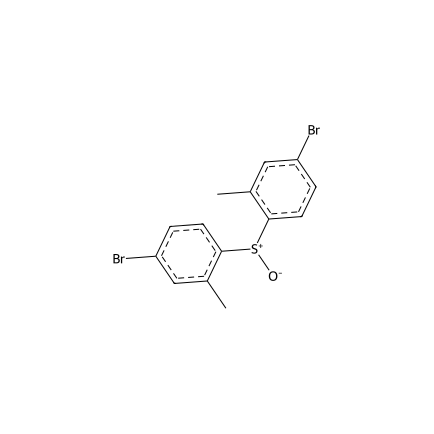 Cc1cc(Br)ccc1[S+]([O-])c1ccc(Br)cc1C